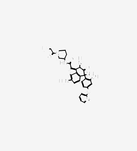 C=CC(=O)N1CCCC(NC(=O)c2sc3c(N)ccc4c3c2C(N)C(=O)C4(N)c2ccc(Oc3ccccn3)cc2C)C1